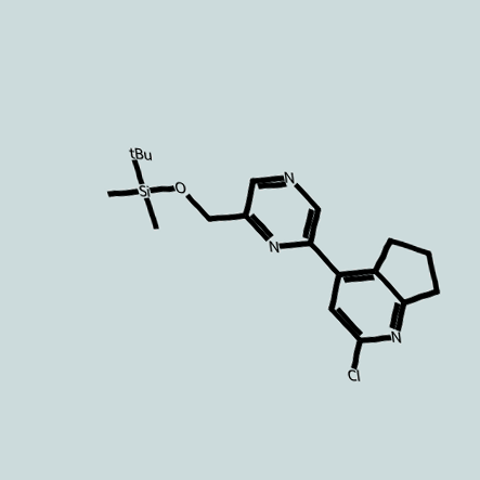 CC(C)(C)[Si](C)(C)OCc1cncc(-c2cc(Cl)nc3c2CCC3)n1